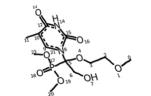 COCCOC(CO)(n1cc(C)c(=O)[nH]c1=O)P(=O)(OC)OC